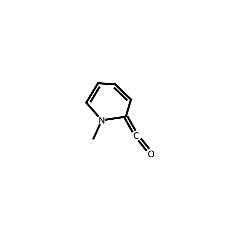 CN1C=CC=CC1=C=O